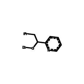 CCOC(CC(C)C)c1ccccn1